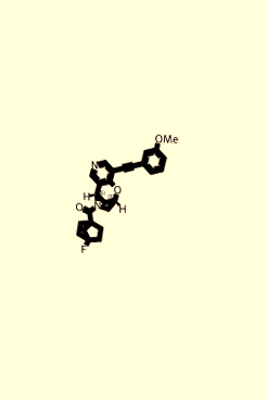 COc1cccc(C#Cc2cncc3c2O[C@H]2C[C@@H]3N(C(=O)C34CCC(F)(CC3)C4)C2)c1